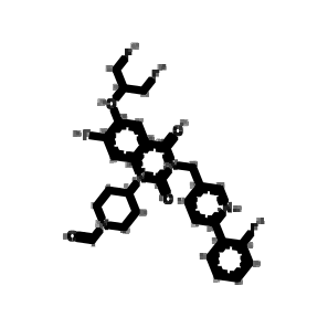 O=CN1CCC(n2c(=O)n(Cc3ccc(-c4ccccc4F)nc3)c(=O)c3cc(OC(CF)CF)c(F)cc32)CC1